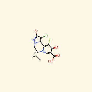 CC(C)[C@@H]1Cn2nc(Br)c(Cl)c2-c2c(F)c(=O)c(C(=O)O)cn21